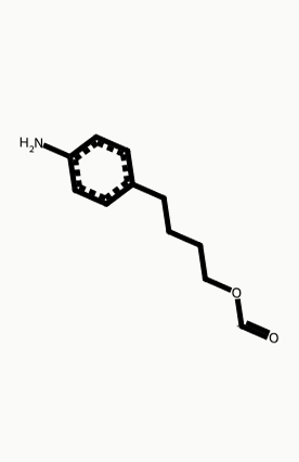 Nc1ccc(CCCCO[C]=O)cc1